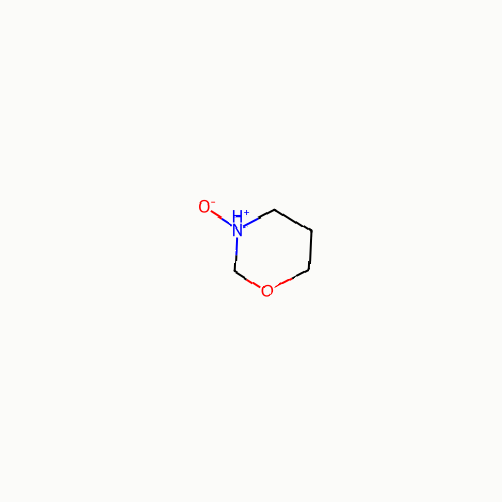 [O-][NH+]1CCCOC1